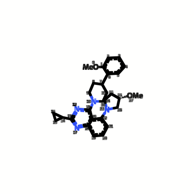 COc1ccccc1C1CCN(c2nc(C3CC3)nc3cccc(N4CC[C@H](OC)C4)c23)CC1